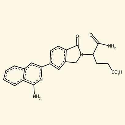 NC(=O)C(CCC(=O)O)N1Cc2cc(-c3cc4ccccc4c(N)n3)ccc2C1=O